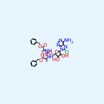 C[C@H](NP(=O)(N[C@@H](C)C(=O)OCc1ccccc1)OC[C@H]1O[C@@H](n2c(Cl)nc3c(N)ncnc32)[C@@H](O)[C@H]1O)C(=O)OCc1ccccc1